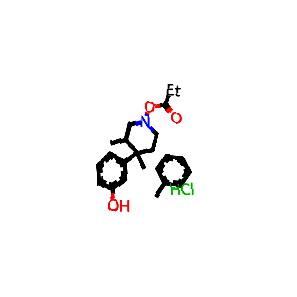 CCC(=O)ON1CCC(C)(c2cccc(O)c2)C(C)C1.Cc1ccccc1.Cl